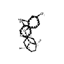 N#Cc1cc(C(F)(F)F)ccc1O[C@H]1C[C@H]2CC[C@@H](C1)N2c1ccc(C(F)(F)F)cn1